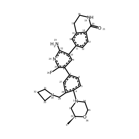 C[C@H]1CN(c2ccc(-c3cc(-c4ccc5c(c4)CCNC5=O)c(N)nc3F)cc2CN2CCC2)CCO1